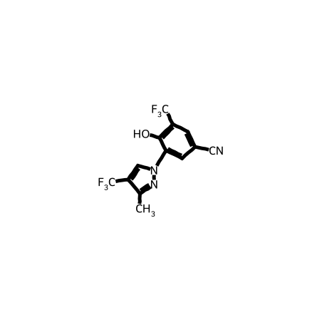 Cc1nn(-c2cc(C#N)cc(C(F)(F)F)c2O)cc1C(F)(F)F